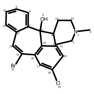 CN1CCC(C2(O)c3ccccc3C=C(Br)c3cc(Cl)ccc32)CC1